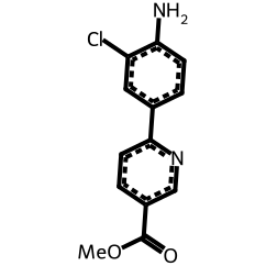 COC(=O)c1ccc(-c2ccc(N)c(Cl)c2)nc1